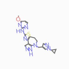 COc1ccnc(Nc2nc3c(s2)CCN(Cc2cnn(C4CC4)c2)c2[nH]ncc2-3)n1